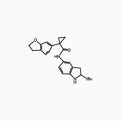 CC(C)(C)C1Cc2cc(NC(=O)C3(c4ccc5c(c4)OCC5)CC3)ccc2N1